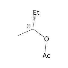 CC[C@@H](C)OC(C)=O